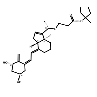 C=C1C(=CC=C2CCC[C@]3(C)C([C@H](C)OCCC(=O)OC(C)(CC)CC)=CC[C@@H]23)C[C@@H](O)C[C@@H]1O